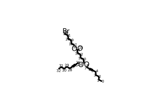 CCCCCC#CCOC(CCCCC(=O)OCCCCCCBr)OCC#CCCCCC